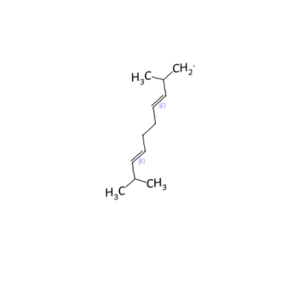 [CH2]C(C)/C=C/CC/C=C/C(C)C